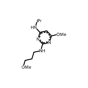 COCCCNc1nc(NC(C)C)cc(OC)n1